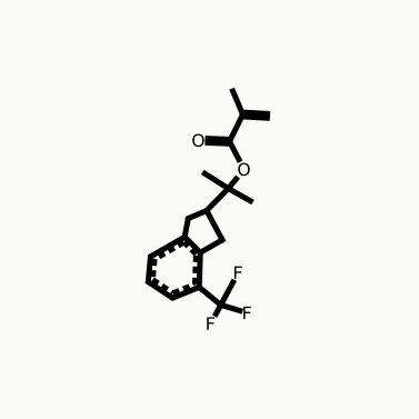 C=C(C)C(=O)OC(C)(C)C1Cc2cccc(C(F)(F)F)c2C1